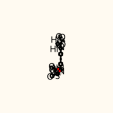 COC(=O)N[C@H](C(=O)N1CCC[C@H]1c1ncc(-c2ccc(C#Cc3ccc(-c4cnc([C@@H]5CSC(C6CCOCC6)N5C(=O)[C@@H](NC(=O)OC)C(C)C)[nH]4)cc3)cc2)[nH]1)C(C)C